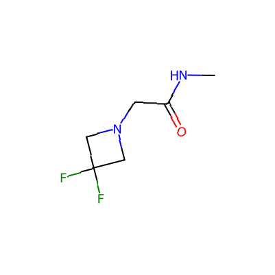 CNC(=O)CN1CC(F)(F)C1